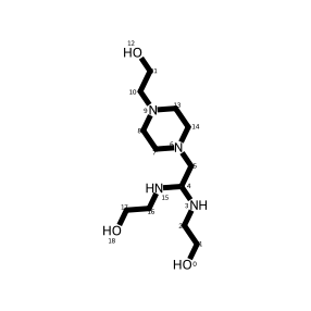 OCCNC(CN1CCN(CCO)CC1)NCCO